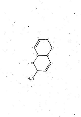 NC1C=CC2CCC=CC2C1